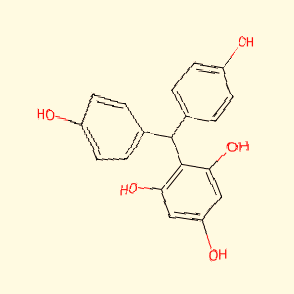 Oc1ccc(C(c2ccc(O)cc2)c2c(O)cc(O)cc2O)cc1